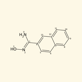 NC(=NO)c1ccc2ccccc2c1